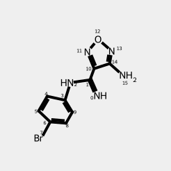 N=C(Nc1ccc(Br)cc1)c1nonc1N